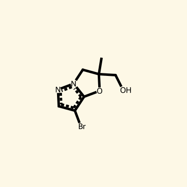 CC1(CO)Cn2ncc(Br)c2O1